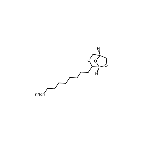 CCCCCCCCCCCCCCCCCC1OC[C@@H]2CO[C@H]1O2